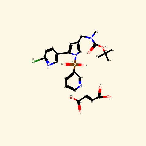 CN(Cc1cc(-c2ccc(Cl)nc2)n(S(=O)(=O)c2cccnc2)c1)C(=O)OC(C)(C)C.O=C(O)/C=C/C(=O)O